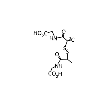 CC(SSC([3CH3])C(=O)NCC(=O)O)C(=O)NCC(=O)O